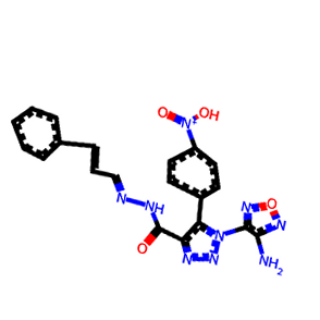 Nc1nonc1-n1nnc(C(=O)N/N=C/C=C/c2ccccc2)c1-c1ccc([N+](=O)O)cc1